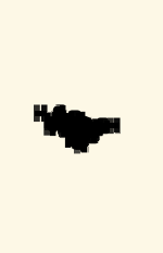 CC[C@@H](CCC(F)(F)F)NC(=O)c1cn(-c2c(F)cncc2F)c2nc(N3C[C@@H](O)CC3=O)ccc2c1=O